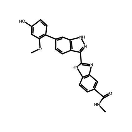 CNC(=O)c1ccc2[nH]c(-c3n[nH]c4cc(-c5ccc(O)cc5OC)ccc34)nc2c1